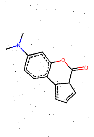 CN(C)c1ccc2c(c1)OC(=O)C1C=CC=C21